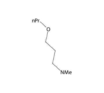 CCCOCCCNC